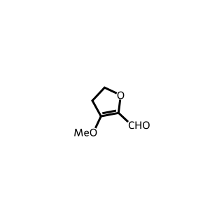 COC1=C(C=O)OCC1